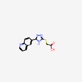 O=C(O)CSc1nnc(-c2ccc3ncccc3c2)[nH]1